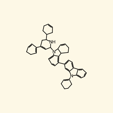 C1=CC(C2=CC(N3c4cccc(-c5ccc6c7ccccc7n(C7=CCCCC7)c6c5)c4C4CCC=CC43)NC(C3CC=CCC3)C2)=CCC1